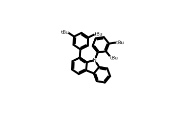 CC(C)(C)c1cc(-c2cccc3c4ccccc4n(-c4cccc(C(C)(C)C)c4C(C)(C)C)c23)cc(C(C)(C)C)c1